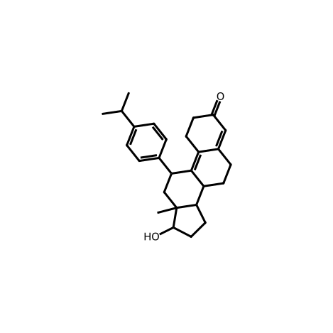 CC(C)c1ccc(C2CC3(C)C(O)CCC3C3CCC4=CC(=O)CCC4=C23)cc1